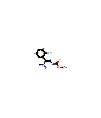 CCN(C)/C(=C\NC(=O)OC(C)(C)C)c1ccccc1F